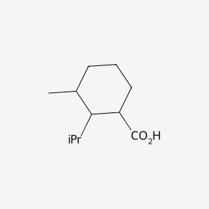 CC(C)C1C(C)CCCC1C(=O)O